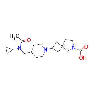 CC(=O)N(CC1CCN(C2CC3(CCN(C(=O)O)C3)C2)CC1)C1CC1